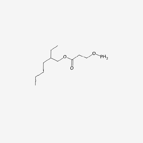 CCCCC(CC)COC(=O)CCOP